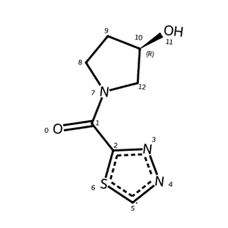 O=C(c1nn[c]s1)N1CC[C@@H](O)C1